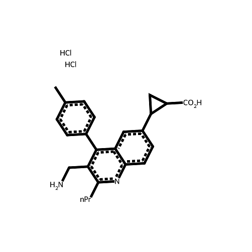 CCCc1nc2ccc(C3CC3C(=O)O)cc2c(-c2ccc(C)cc2)c1CN.Cl.Cl